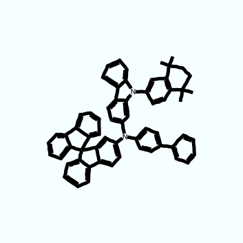 CC1(C)CCC(C)(C)c2cc(-n3c4ccccc4c4ccc(N(c5ccc(-c6ccccc6)cc5)c5ccc6c(c5)C5(c7ccccc7-c7ccccc75)c5ccccc5-6)cc43)ccc21